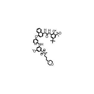 COc1cc(Nc2cc(Oc3ccc(NC(=O)Nc4cc(C(C)(C)C)cc(P(C)(C)=O)c4OC)c4ccccc34)ccn2)cc(S(=O)(=O)N(C)CCCN2CCOCC2)c1